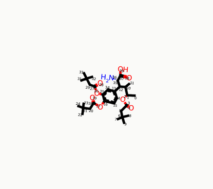 CC(OC(=O)CC(C)(C)C)C(C)C(c1ccc(OC(=O)CC(C)(C)C)c(OC(=O)CC(C)(C)C)c1)[C@H](N)C(=O)O